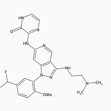 COc1ccc(C(F)F)cc1-n1nc(NCCN(C)C)c2cnc(Nc3ncc[nH]c3=O)cc21